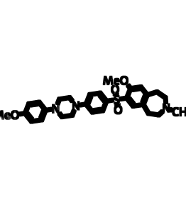 COc1ccc(N2CCN(c3ccc(S(=O)(=O)c4cc5c(cc4OC)CCN(C)CC5)cc3)CC2)cc1